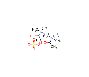 CC(O)[N+](C)(C)C.CC(O)[N+](C)(C)C.O=S(=O)([O-])[O-]